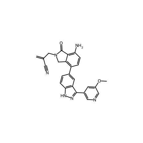 C=C(C#N)CN1Cc2c(-c3ccc4[nH]nc(-c5cncc(OC)c5)c4c3)ccc(N)c2C1=O